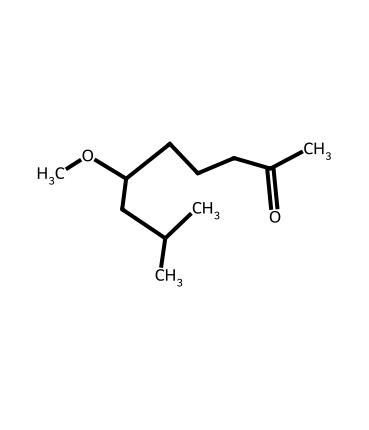 COC(CCCC(C)=O)CC(C)C